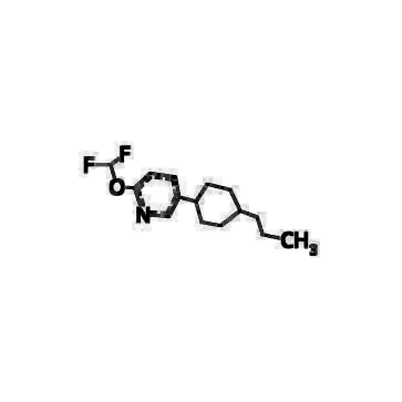 CCCC1CCC(c2ccc(OC(F)F)nc2)CC1